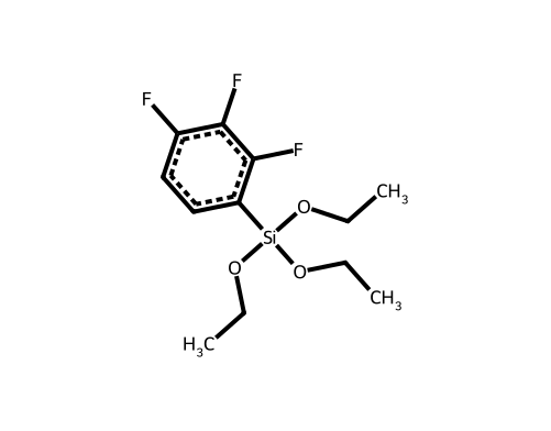 CCO[Si](OCC)(OCC)c1ccc(F)c(F)c1F